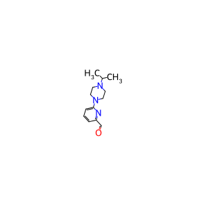 CC(C)N1CCN(c2cccc(C=O)n2)CC1